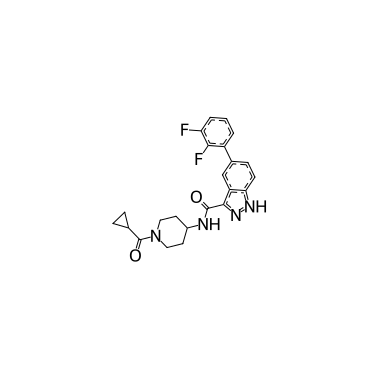 O=C(NC1CCN(C(=O)C2CC2)CC1)c1n[nH]c2ccc(-c3cccc(F)c3F)cc12